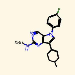 CCCCNc1ncc2c(n1)c(C1CCC(C)CC1)cn2-c1ccc(F)cc1